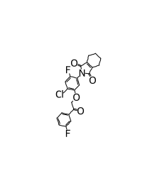 O=C(COc1cc(N2C(=O)C3=C(CCCC3)C2=O)c(F)cc1Cl)c1cccc(F)c1